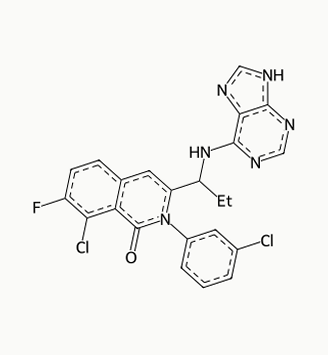 CCC(Nc1ncnc2[nH]cnc12)c1cc2ccc(F)c(Cl)c2c(=O)n1-c1cccc(Cl)c1